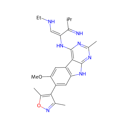 CCN/C=C(/Nc1nc(C)nc2[nH]c3cc(-c4c(C)noc4C)c(OC)cc3c12)C(=N)C(C)C